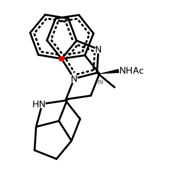 CC(=O)N[C@@H](CCC1C2CCC1NC(n1c(C)nc3ccccc31)C2)c1ccccc1